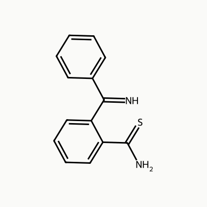 N=C(c1ccccc1)c1ccccc1C(N)=S